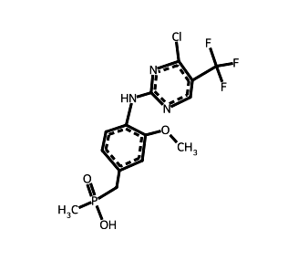 COc1cc(CP(C)(=O)O)ccc1Nc1ncc(C(F)(F)F)c(Cl)n1